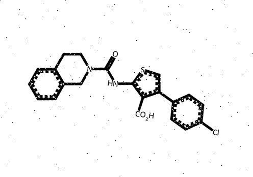 O=C(O)c1c(-c2ccc(Cl)cc2)csc1NC(=O)N1CCc2ccccc2C1